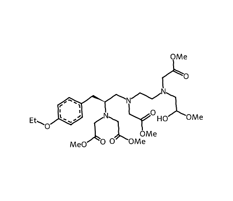 CCOc1ccc(C[C@@H](CN(CCN(CC(=O)OC)CC(O)OC)CC(=O)OC)N(CC(=O)OC)CC(=O)OC)cc1